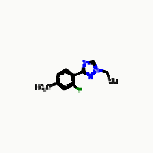 CC(C)(C)Cn1cnc(-c2ccc(C(=O)O)cc2F)n1